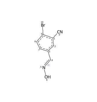 N#Cc1cc(/C=N/O)ccc1Br